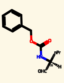 [2H][C@@](C=O)(CCC)NC(=O)OCc1ccccc1